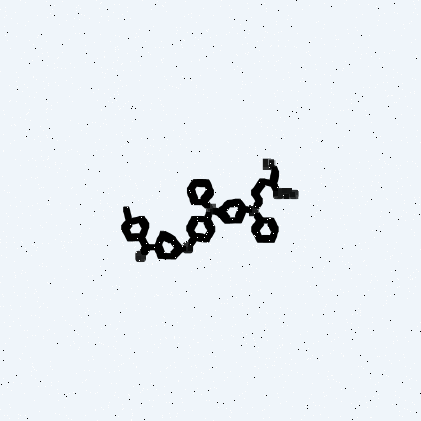 CC/C=C(\C=C/CN(c1ccccc1)c1ccc(N(c2ccccc2)c2ccc(Oc3ccc(C(=O)c4ccc(C)cc4)cc3)cc2)cc1)OC